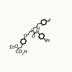 CCOC(Cc1ccc(OCCN(CCCc2ccc(F)cc2)C(=O)Nc2ccc(C(C)C)cc2)cc1)C(=O)O